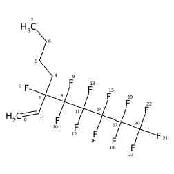 C=CC(F)(CCCC)C(F)(F)C(F)(F)C(F)(F)C(F)(F)C(F)(F)F